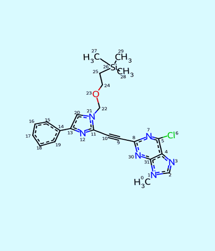 Cn1cnc2c(Cl)nc(C#Cc3nc(-c4ccccc4)cn3COCC[Si](C)(C)C)nc21